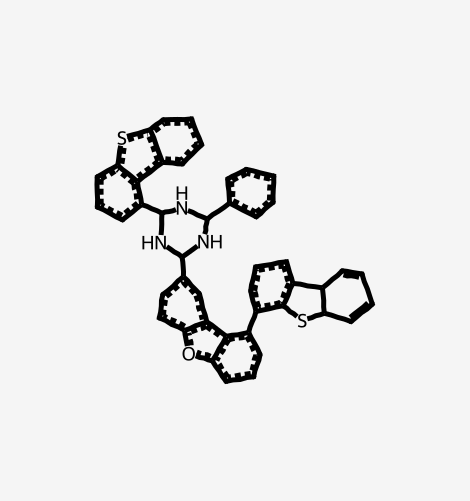 C1=CC2Sc3c(-c4cccc5oc6ccc(C7NC(c8ccccc8)NC(c8cccc9sc%10ccccc%10c89)N7)cc6c45)cccc3C2C=C1